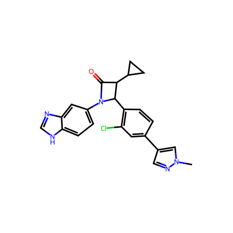 Cn1cc(-c2ccc(C3C(C4CC4)C(=O)N3c3ccc4[nH]cnc4c3)c(Cl)c2)cn1